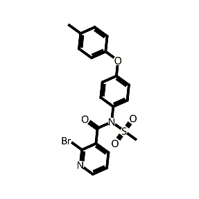 Cc1ccc(Oc2ccc(N(C(=O)c3cccnc3Br)S(C)(=O)=O)cc2)cc1